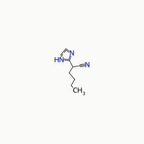 CCCCC(C#N)c1ncc[nH]1